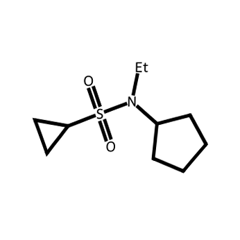 CCN(C1CCCC1)S(=O)(=O)C1CC1